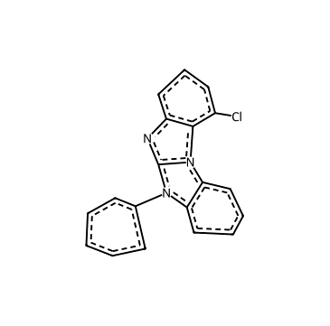 Clc1cccc2nc3n(-c4ccccc4)c4ccccc4n3c12